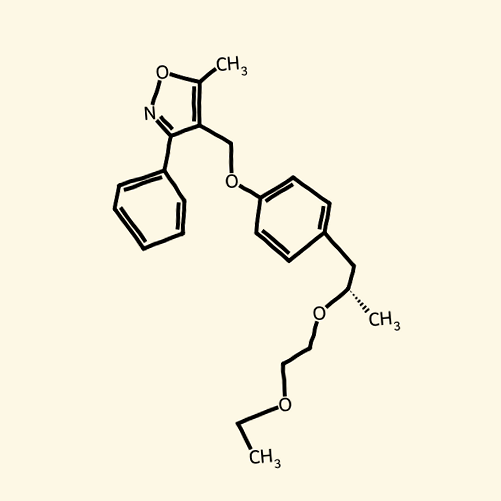 CCOCCO[C@@H](C)Cc1ccc(OCc2c(-c3ccccc3)noc2C)cc1